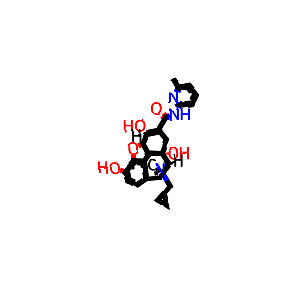 Cc1cccc(NC(=O)C2=C(O)[C@@H]3Oc4c(O)ccc5c4[C@@]34CCN(CC3CC3)[C@H](C5)[C@]4(O)C2)n1